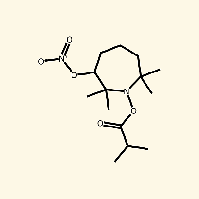 CC(C)C(=O)ON1C(C)(C)CCCC(O[N+](=O)[O-])C1(C)C